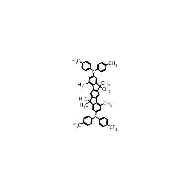 Cc1ccc(N(c2ccc(C(F)(F)F)cc2)c2cc(C)c3c(c2)C(C)(C)c2cc4c(cc2-3)C(C)(C)c2cc(N(c3ccc(C(F)(F)F)cc3)c3ccc(C(F)(F)F)cc3)cc(C)c2-4)cc1